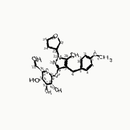 COc1ccc(Cc2c(O[C@@H]3O[C@H](CO)[C@@H](O)[C@H](O)[C@H]3O)nn(C3CCOC3)c2C)cc1